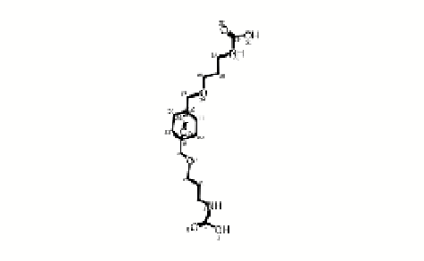 O=C(O)NCCCOCC12CCC(COCCCNC(=O)O)(CC1)CC2